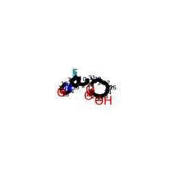 C=C(Cc1cc(F)cc(N2CCOCC2)c1)[C@H]1OC(=O)C[C@H](O)CC[C@@H](C)[CH]/C=C/[C@@H]1C